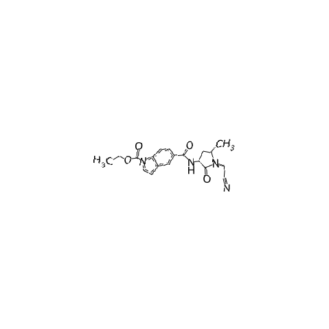 CCOC(=O)n1ccc2cc(C(=O)NC3CC(C)N(CC#N)C3=O)ccc21